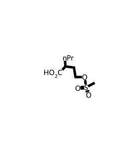 CCCC(CCOS(C)(=O)=O)C(=O)O